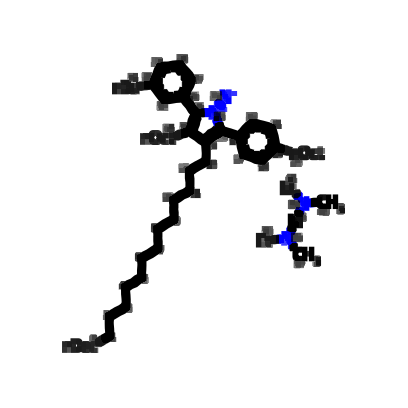 CCCCCCCCCCCCCCCCCCCCCCCC1=C(c2ccc(CCCCCCCC)cc2)[N+](=[N-])C(c2cccc(CCCC)c2)=C1CCCCCCCC.CC[N](C)[Ni][N](C)CC